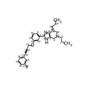 CCCN1Cc2[nH]c(-c3cccc(OCC#Cc4cccc(F)c4)c3)nc2N(CCC)C1